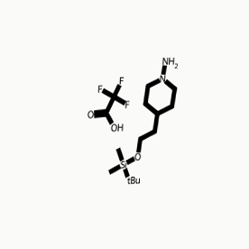 CC(C)(C)[Si](C)(C)OCCC1CCN(N)CC1.O=C(O)C(F)(F)F